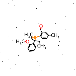 CCC(CC)(Pc1ccc(C)cc1C=O)c1ccccc1OC